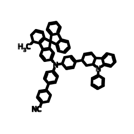 CC1CC=CC2=C1c1ccc(N(c3ccc(C4=CC=C(C#N)CC4)cc3)C3C=CC(C4C=CC5c6ccccc6N(c6ccccc6)C5C4)=CC3)cc1C21c2ccccc2-c2ccccc21